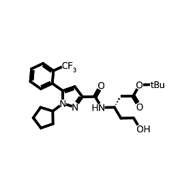 CC(C)(C)OC(=O)C[C@H](CCO)NC(=O)c1cc(-c2ccccc2C(F)(F)F)n(C2CCCC2)n1